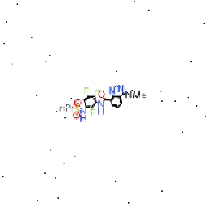 CCCS(=O)(=O)Nc1cc(F)c(F)c(NC(=O)c2cccc3c(NC)ncnc23)c1F